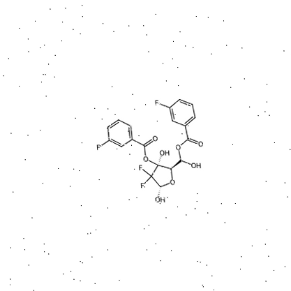 O=C(OC(O)[C@H]1O[C@H](O)C(F)(F)[C@@]1(O)OC(=O)c1cccc(F)c1)c1cccc(F)c1